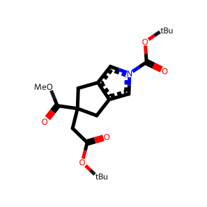 COC(=O)C1(CC(=O)OC(C)(C)C)Cc2cn(C(=O)OC(C)(C)C)cc2C1